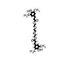 Cc1cc(CCC(=O)OCCOCCOCCOC(=O)CCc2cc(C)c(O)c(C)c2)cc(C)c1O